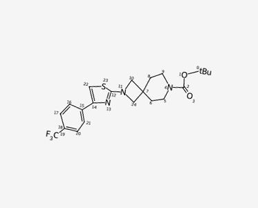 CC(C)(C)OC(=O)N1CCC2(CC1)CN(c1nc(-c3ccc(C(F)(F)F)cc3)cs1)C2